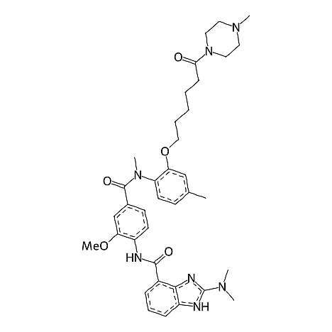 COc1cc(C(=O)N(C)c2ccc(C)cc2OCCCCCC(=O)N2CCN(C)CC2)ccc1NC(=O)c1cccc2[nH]c(N(C)C)nc12